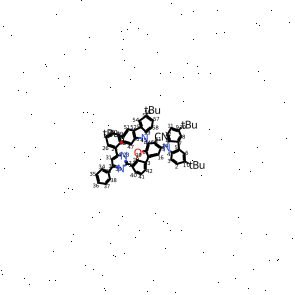 CC(C)(C)c1ccc2c(c1)c1cc(C(C)(C)C)ccc1n2-c1cc2c(oc3c(-c4nc(-c5ccccc5)cc(-c5ccccc5)n4)cccc32)c(-n2c3ccc(C(C)(C)C)cc3c3cc(C(C)(C)C)ccc32)c1C#N